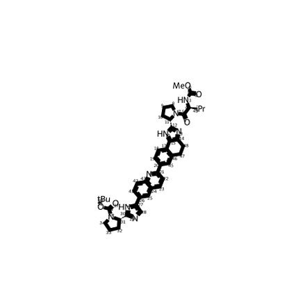 COC(=O)N[C@H](C(=O)N1CCC[C@H]1c1nc2c([nH]1)-c1ccc(-c3ccc4cc(-c5cnc([C@@H]6CCCN6C(=O)OC(C)(C)C)[nH]5)ccc4n3)cc1CC2)C(C)C